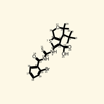 CC(C)(C)C1c2c(sc(NC(=S)NC(=O)c3ccccc3Br)c2C(=O)O)COC1(C)C